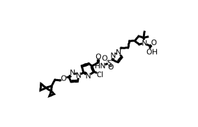 CC1(C)CC(CCCn2ccc(S(=O)(=O)NC(=O)c3ccc(-n4ccc(OCCC5C6(CC6)C56CC6)n4)nc3Cl)n2)CN1C(=O)O